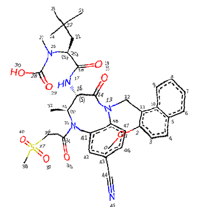 COc1ccc2ccccc2c1CN1C(=O)[C@@H](NC(=O)[C@H](CC(C)(C)C)N(C)C(=O)O)[C@H](C)N(C(=O)CS(C)(=O)=O)c2cc(C#N)ccc21